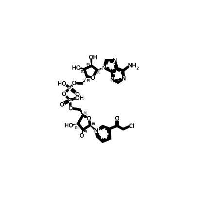 Nc1ncnc2c1ncn2[C@@H]1O[C@H](COP(=O)(O)OP(=O)(O)OC[C@H]2O[C@@H]([n+]3cccc(C(=O)CCl)c3)[C@H]([O-])[C@@H]2O)[C@@H](O)[C@H]1O